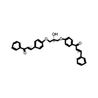 O=C(/C=C/c1ccc(OC[C@H](O)COc2ccc(C(=O)/C=C/c3ccccc3)cc2)cc1)c1ccccc1